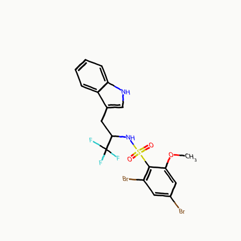 COc1cc(Br)cc(Br)c1S(=O)(=O)NC(Cc1c[nH]c2ccccc12)C(F)(F)F